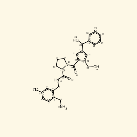 NCc1ccc(Cl)cc1CNC(=O)[C@@H]1CCCN1C(=O)c1cc(C(O)c2cccnc2)cn1CO